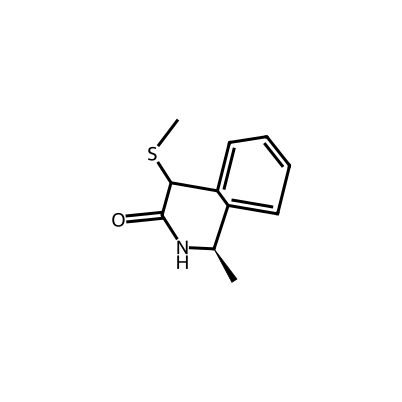 CSC1C(=O)N[C@H](C)c2ccccc21